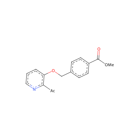 COC(=O)c1ccc(COc2cccnc2C(C)=O)cc1